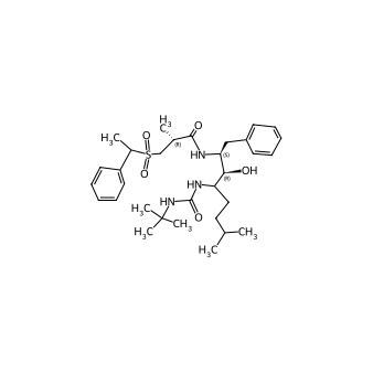 CC(C)CCC(NC(=O)NC(C)(C)C)[C@H](O)[C@H](Cc1ccccc1)NC(=O)[C@@H](C)CS(=O)(=O)C(C)c1ccccc1